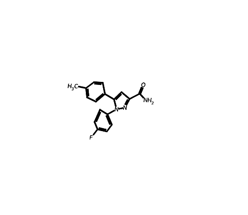 Cc1ccc(-c2cc(C(N)=O)nn2-c2ccc(F)cc2)cc1